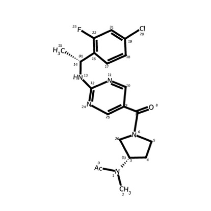 CC(=O)N(C)[C@H]1CCN(C(=O)c2cnc(N[C@H](C)c3ccc(Cl)cc3F)nc2)C1